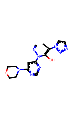 C=NN(/C(O)=C(\C)n1ccnn1)c1cc(N2CCOCC2)ncn1